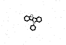 c1ccc(-n2c3ccccc3c3oc4ccccc4c32)cc1